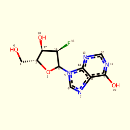 OC[C@H]1OC(n2cnc3c(O)ncnc32)[C@H](F)[C@@H]1O